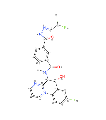 O=C1c2cc(-c3nnc(C(F)F)o3)ccc2CN1[C@H](c1ncccn1)[C@H](O)c1cccc(F)c1